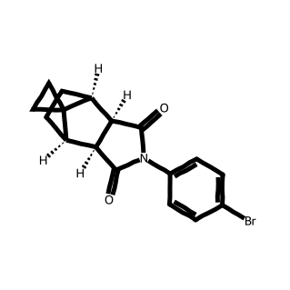 O=C1[C@@H]2[C@H](C(=O)N1c1ccc(Br)cc1)[C@@H]1CC[C@H]2C12CC2